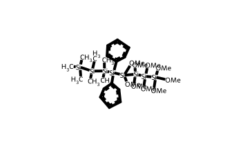 CO[Si](OC)(OC)[Si](OC)(OC)[Si](OC)(OC)[Si](OC)(OC)[Si](c1ccccc1)(c1ccccc1)[Si](C)(C)[Si](C)(C)[Si](C)(C)C